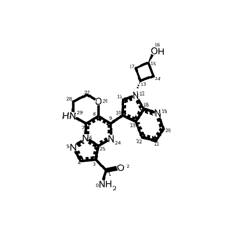 NC(=O)c1cnn2c3c(c(-c4cn([C@H]5C[C@H](O)C5)c5ncccc45)nc12)OCCN3